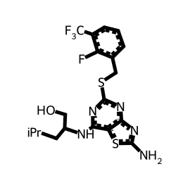 CC(C)CC(CO)Nc1nc(SCc2cccc(C(F)(F)F)c2F)nc2nc(N)sc12